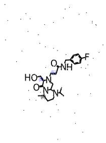 CC(C)N1CC[C@@H](C)N2C(=O)/C(=C\O)N(/C=C/C(=O)NCc3ccc(F)cc3)CC12